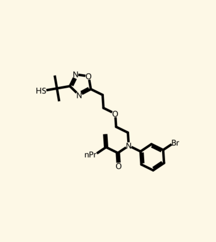 C=C(CCC)C(=O)N(CCOCCc1nc(C(C)(C)S)no1)c1cccc(Br)c1